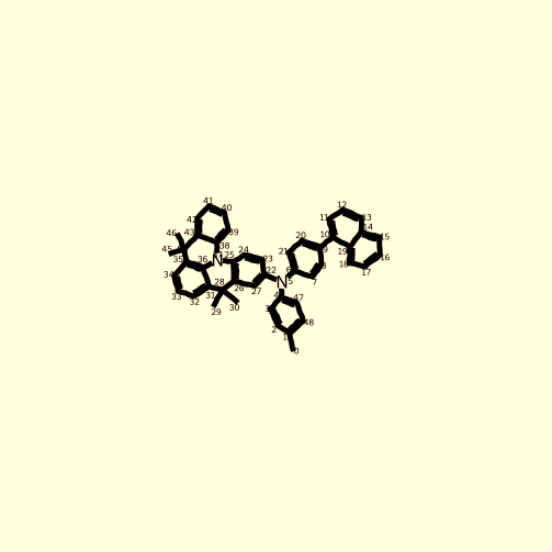 Cc1ccc(N(c2ccc(-c3cccc4ccccc34)cc2)c2ccc3c(c2)C(C)(C)c2cccc4c2N3c2ccccc2C4(C)C)cc1